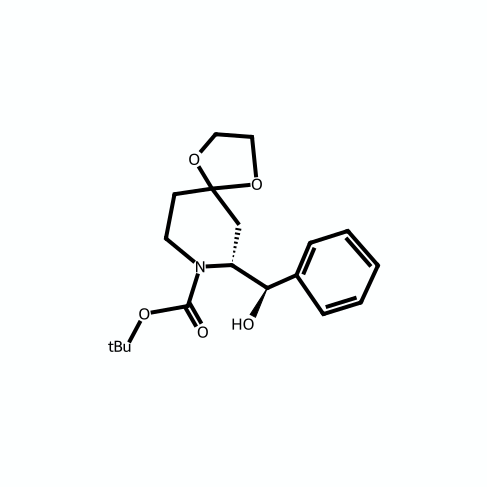 CC(C)(C)OC(=O)N1CCC2(C[C@@H]1[C@H](O)c1ccccc1)OCCO2